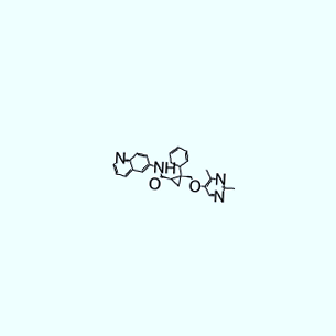 Cc1ncc(OC[C@@]2(C3C=CC=CC3)C[C@H]2C(=O)Nc2ccc3ncccc3c2)c(C)n1